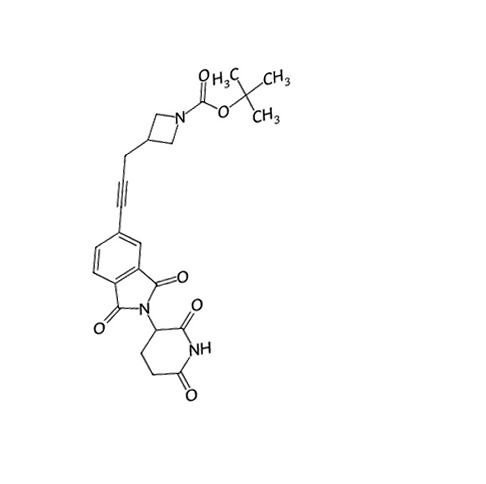 CC(C)(C)OC(=O)N1CC(CC#Cc2ccc3c(c2)C(=O)N(C2CCC(=O)NC2=O)C3=O)C1